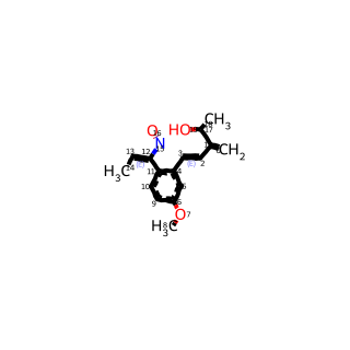 C=C(/C=C/c1cc(OC)ccc1/C(=C\C)N=O)C(C)O